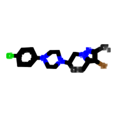 Cc1c(Br)c(C(F)(F)F)nn1CC(C=O)N1CCN(c2ccc(Cl)cc2)CC1